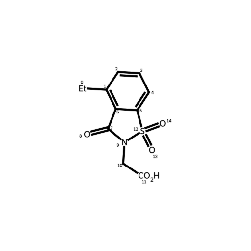 CCc1cccc2c1C(=O)N(CC(=O)O)S2(=O)=O